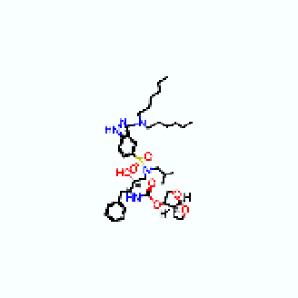 CCCCCCN(CCCCCC)c1n[nH]c2ccc(S(=O)(=O)N(CC(C)C)C[C@@H](O)[C@H](Cc3ccccc3)NC(=O)OC3CO[C@H]4OCC[C@@H]34)cc12